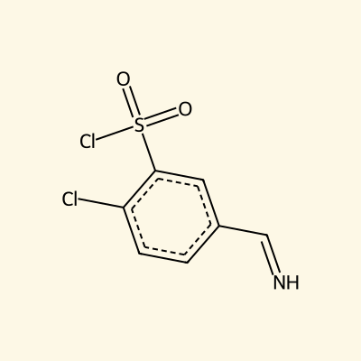 N=Cc1ccc(Cl)c(S(=O)(=O)Cl)c1